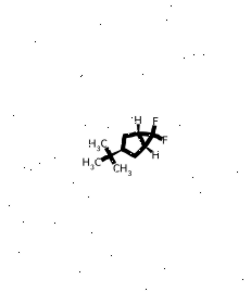 CC(C)(C)[C@@H]1C[C@@H]2[C@H](C1)C2(F)F